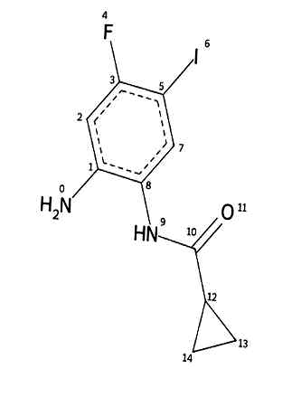 Nc1cc(F)c(I)cc1NC(=O)C1CC1